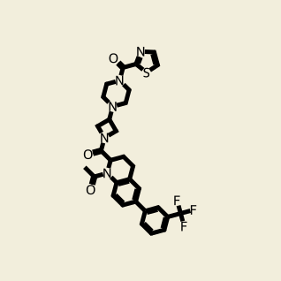 CC(=O)N1c2ccc(-c3cccc(C(F)(F)F)c3)cc2CCC1C(=O)N1CC(N2CCN(C(=O)c3nccs3)CC2)C1